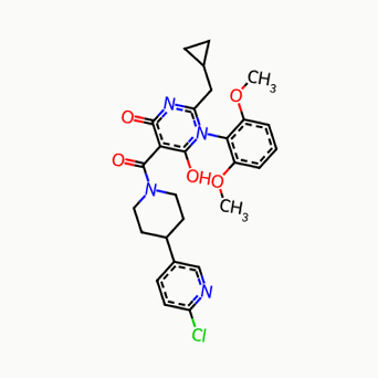 COc1cccc(OC)c1-n1c(CC2CC2)nc(=O)c(C(=O)N2CCC(c3ccc(Cl)nc3)CC2)c1O